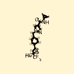 O=C(NC1CC1)c1cnn(Cc2ccc(C3=NOC(O)(C(F)(F)F)C3)cc2)c1